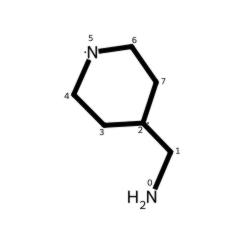 NC[C]1CC[N]CC1